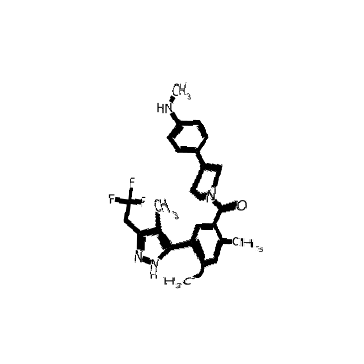 CNc1ccc(C2CN(C(=O)c3cc(-c4[nH]nc(CC(F)(F)F)c4C)c(C)cc3C)C2)cc1